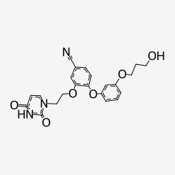 N#Cc1ccc(Oc2cccc(OCCCO)c2)c(OCCn2ccc(=O)[nH]c2=O)c1